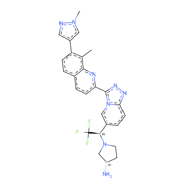 Cc1c(-c2cnn(C)c2)ccc2ccc(-c3nnc4ccc([C@@H](N5CC[C@H](N)C5)C(F)(F)F)cn34)nc12